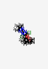 [2H]c1nc(-c2nc(Cl)c(Oc3c([2H])c([2H])c([2H])c([2H])c3OC([2H])([2H])[2H])c(Cl)n2)nc([2H])c1[2H]